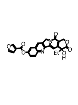 CCC1(O)C(=O)OCc2c1cc1n(c2=O)Cc2cc3cc(OC(=O)c4ccoc4)ccc3nc2-1